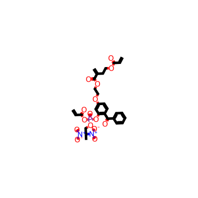 C=CC(=O)OCCC(=C)C(=O)OCCOc1ccc(C(=O)c2ccccc2)c(OP(=O)(OCC(C)([N+](=O)[O-])[N+](=O)[O-])OC(=O)C=C)c1